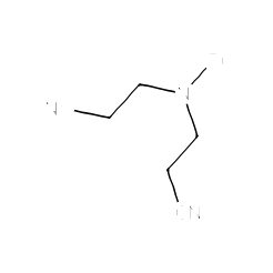 CCN(CCC#N)CCC#N